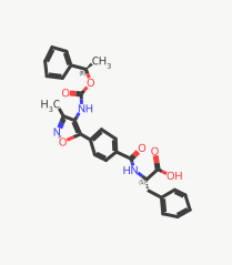 Cc1noc(-c2ccc(C(=O)N[C@@H](Cc3ccccc3)C(=O)O)cc2)c1NC(=O)O[C@H](C)c1ccccc1